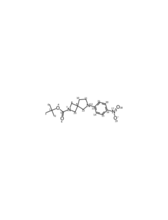 CC(C)(C)OC(=O)N1CC2(CCN(c3ccc([N+](=O)[O-])cc3)C2)C1